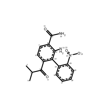 CC(C)C(=O)c1ccc(C(N)=O)c(N)c1-c1ccccc1[N+](=O)[O-]